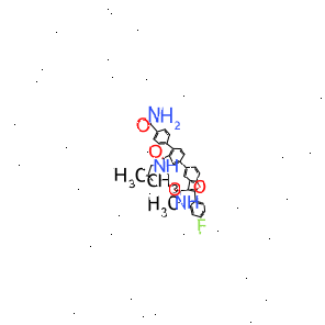 CNC(=O)c1c(-c2ccc(F)cc2)oc2ccc(-c3ccc(-c4ccc(C(N)=O)cc4)c(C(=O)NCC(C)C)c3)cc12